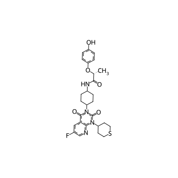 C[C@@H](Oc1ccc(O)cc1)C(=O)NC1CCC(n2c(=O)c3cc(F)cnc3n(C3CCSCC3)c2=O)CC1